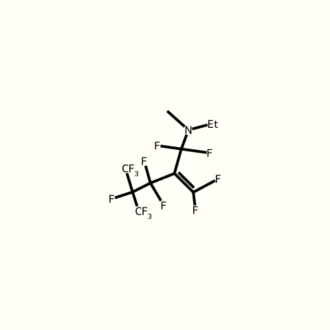 CCN(C)C(F)(F)C(=C(F)F)C(F)(F)C(F)(C(F)(F)F)C(F)(F)F